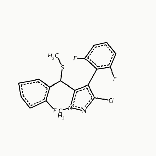 CSC(c1ccccc1F)c1c(-c2c(F)cccc2F)c(Cl)nn1C